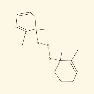 CC1=CC=CCC1(C)SSSC1(C)CC=CC=C1C